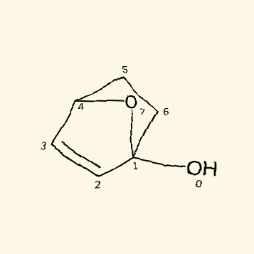 OC12C=CC(CC1)O2